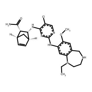 CCN1CCNCc2cc(OC)c(Nc3ncc(Cl)c(N[C@H]4[C@@H](C(N)=O)[C@@H]5C=C[C@H]4C5)n3)cc21